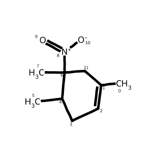 CC1=CCC(C)C(C)([N+](=O)[O-])C1